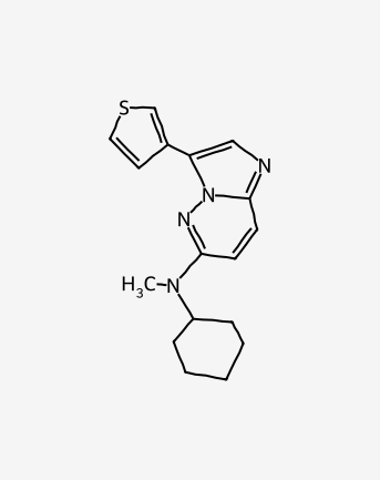 CN(c1ccc2ncc(-c3ccsc3)n2n1)C1CCCCC1